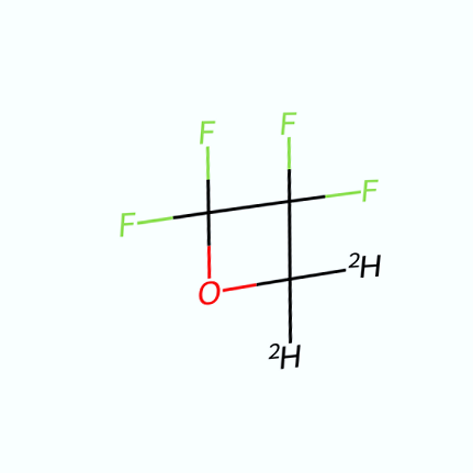 [2H]C1([2H])OC(F)(F)C1(F)F